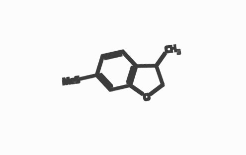 CSc1ccc2c(c1)OCC2C